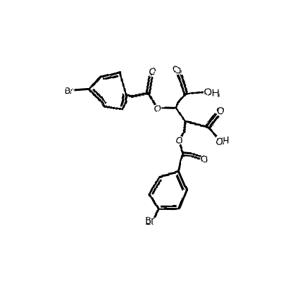 O=C(OC(C(=O)O)C(OC(=O)c1ccc(Br)cc1)C(=O)O)c1ccc(Br)cc1